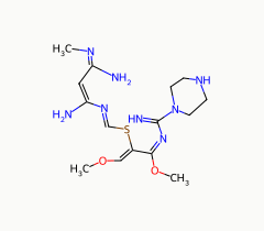 C\N=C(N)/C=C(N)\N=C\SC(=C\OC)/C(=N\C(=N)N1CCNCC1)OC